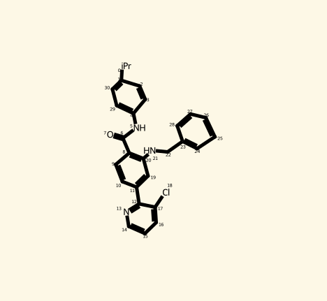 CC(C)c1ccc(NC(=O)c2ccc(-c3ncccc3Cl)cc2NCc2ccccc2)cc1